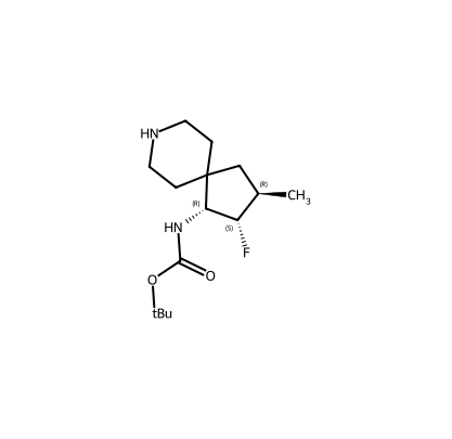 C[C@@H]1CC2(CCNCC2)[C@@H](NC(=O)OC(C)(C)C)[C@H]1F